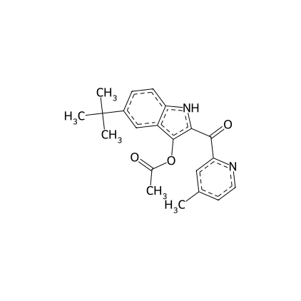 CC(=O)Oc1c(C(=O)c2cc(C)ccn2)[nH]c2ccc(C(C)(C)C)cc12